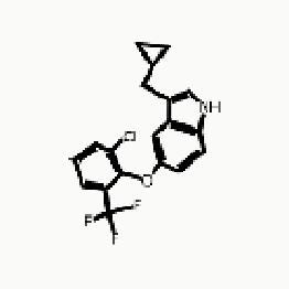 FC(F)(F)c1c[c]cc(Cl)c1Oc1ccc2[nH]cc(CC3CC3)c2c1